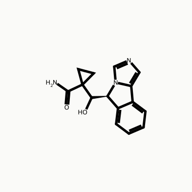 NC(=O)C1(C(O)[C@@H]2c3ccccc3-c3cncn32)CC1